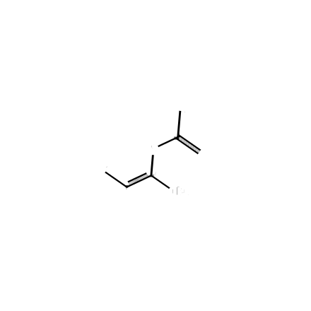 C=C(C)S/C(=C\C)C(C)(C)C